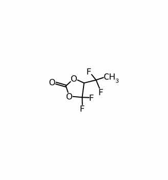 CC(F)(F)C1OC(=O)OC1(F)F